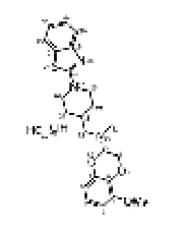 COc1cccc2c1OCC(N(C)CC1CCN(c3nc4ccccc4s3)CC1)O2.Cl.Cl